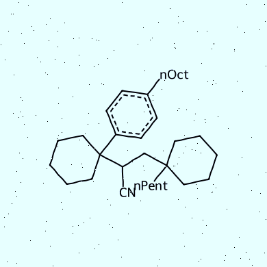 CCCCCCCCc1ccc(C2(C(C#N)CC3(CCCCC)CCCCC3)CCCCC2)cc1